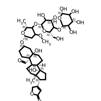 COC1C[C@H](O[C@H]2CC[C@]3(C=O)C4CC[C@]5(C)[C@@H](C6=CC(=O)OC6)CC[C@]5(O)[C@@H]4CC[C@]3(O)C2)O[C@H](C)C1O[C@H]1O[C@@H](CO)C(O[C@@H]2O[C@H](O)C(O)[C@H](O)C2O)[C@@H](O)C1O